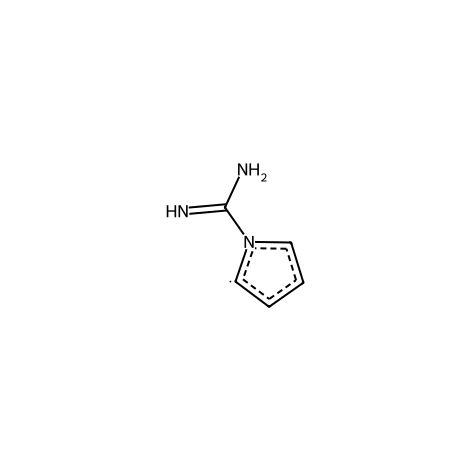 N=C(N)n1[c]ccc1